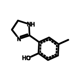 Cc1ccc(O)c(C2=NCCN2)c1